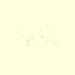 CC(C)c1cc(Oc2c(Cl)cc(N)c(F)c2Cl)n[nH]c1=O